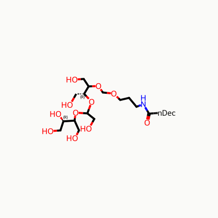 CCCCCCCCCCC(=O)NCCCOCOC(CO)[C@@H](CO)OC(CO)OC(CO)[C@H](O)CO